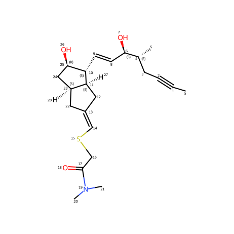 CC#CC[C@@H](C)[C@H](O)C=C[C@@H]1[C@H]2CC(=CSCC(=O)N(C)C)C[C@H]2C[C@H]1O